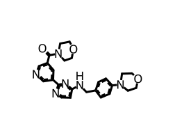 O=C(c1cncc(-c2nccc(NCc3ccc(N4CCOCC4)cc3)n2)c1)N1CCOCC1